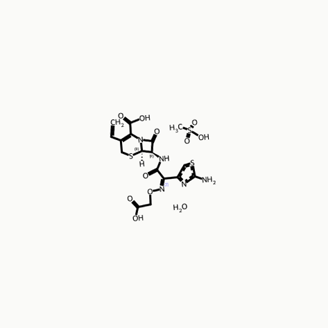 C=CC1=C(C(=O)O)N2C(=O)[C@@H](NC(=O)/C(=N\OCC(=O)O)c3csc(N)n3)[C@H]2SC1.CS(=O)(=O)O.O